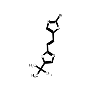 CC(C)(C)c1cnc(C=Cc2cnc(Br)s2)o1